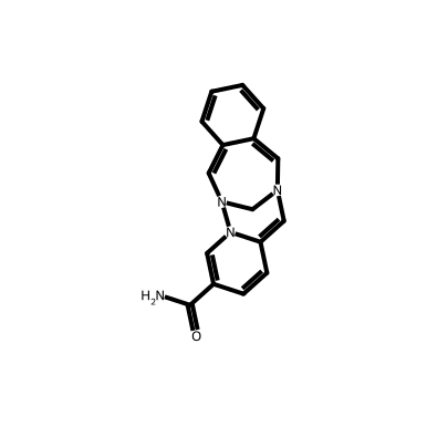 NC(=O)C1=CN2C(=CN3C=c4ccccc4=CN2C3)C=C1